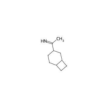 CC(=N)C1CCC2CCC2C1